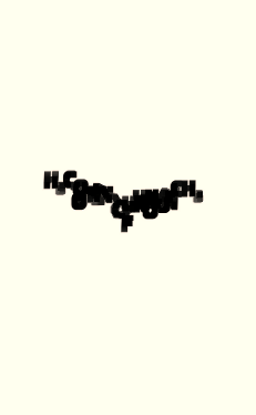 CCOC(=O)N1CCN(Cc2ccc(F)c(CNC(=O)Nc3cc(C)no3)c2)CC1